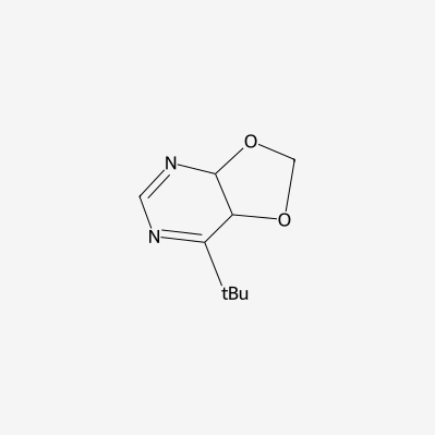 CC(C)(C)C1=NC=NC2OCOC12